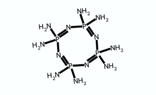 NP1(N)=NP(N)(N)=NP(N)(N)=NP(N)(N)=N1